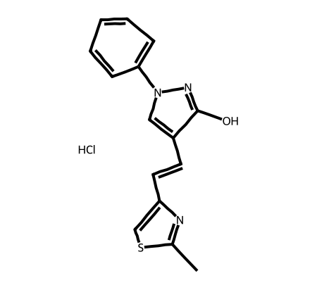 Cc1nc(C=Cc2cn(-c3ccccc3)nc2O)cs1.Cl